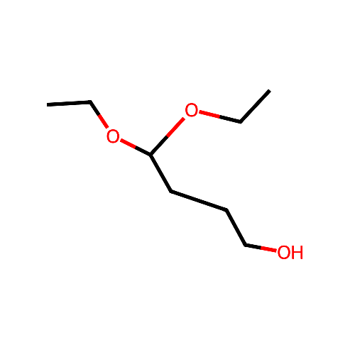 CCOC(CCCO)OCC